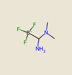 CN(C)C(N)[B-](F)(F)F